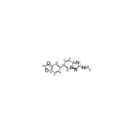 Nc1nc2ccc(-c3ccc4c(c3)OCO4)cn2n1